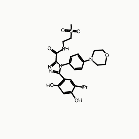 CC(C)c1cc(-c2nnc(C(=O)NCCS(C)(=O)=O)n2-c2ccc(N3CCOCC3)cc2)c(O)cc1O